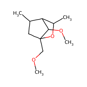 COCC12CC(C)C(C(C)O1)C2OC